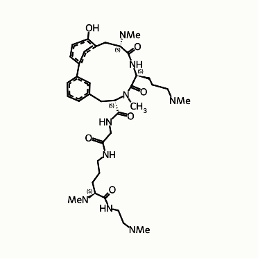 CNCCC[C@@H]1NC(=O)[C@@H](NC)Cc2cc(ccc2O)-c2cccc(c2)C[C@@H](C(=O)NCC(=O)NCCC[C@H](NC)C(=O)NCCNC)N(C)C1=O